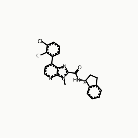 Cn1c(C(=O)N[C@H]2CCc3ccccc32)nc2c(-c3cccc(Cl)c3Cl)ccnc21